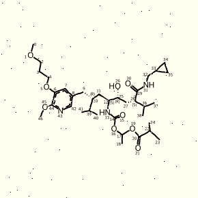 COCCCOc1cc(C[C@H](C[C@H](NC(=O)OC(C)OC(=O)C(C)C)[C@H](O)C[C@H](C(=O)NCC2CC2)C(C)C)C(C)C)cnc1OC